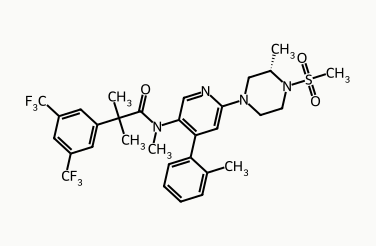 Cc1ccccc1-c1cc(N2CCN(S(C)(=O)=O)[C@@H](C)C2)ncc1N(C)C(=O)C(C)(C)c1cc(C(F)(F)F)cc(C(F)(F)F)c1